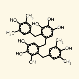 Cc1cc(Cc2c(Cc3cc(O)c(O)c(O)c3Cc3cc(C)c(O)c(C)c3)cc(O)c(O)c2O)cc(C)c1O